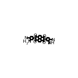 CNc1cc(N2C(=O)c3ccc4c5c(ccc(c35)C2=O)C(=O)N(c2ccc(C#N)c(N)c2)C4=O)ccc1C#N